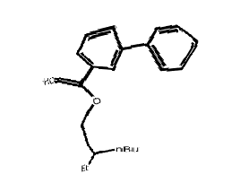 [CH]=C(OCC(CC)CCCC)c1cc[c]c(-c2ccccc2)c1